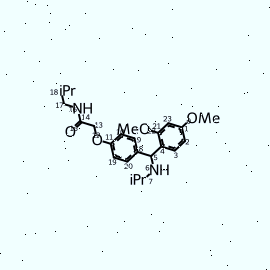 COc1ccc(C(NC(C)C)c2ccc(OCC(=O)NCC(C)C)cc2)c(OC)c1